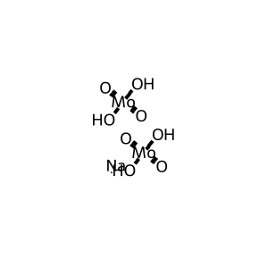 [Na].[O]=[Mo](=[O])([OH])[OH].[O]=[Mo](=[O])([OH])[OH]